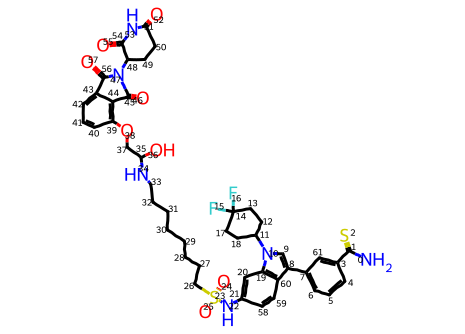 NC(=S)c1cccc(-c2cn(C3CCC(F)(F)CC3)c3cc(NS(=O)(=O)CCCCCCCCNC(O)COc4cccc5c4C(=O)N(C4CCC(=O)NC4=O)C5=O)ccc23)c1